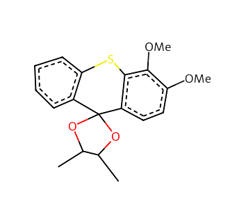 COc1ccc2c(c1OC)Sc1ccccc1C21OC(C)C(C)O1